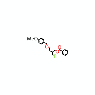 COc1ccc(COCC/C(=C/F)COC(=O)c2ccccc2)cc1